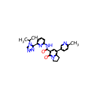 Cc1ccc(-c2cc(C(=O)Nc3cccc(-c4nncn4C(C)C)n3)c(=O)n3c2CCC3)cn1